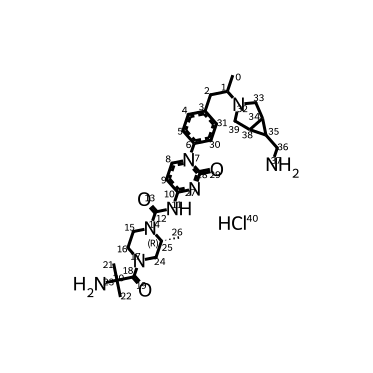 CC(Cc1ccc(-n2ccc(NC(=O)N3CCN(C(=O)C(C)(C)N)C[C@H]3C)nc2=O)cc1)N1CC2C(CN)C2C1.Cl